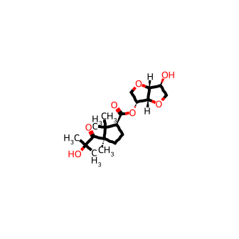 CC(C)(O)C(=O)[C@]1(C)CC[C@H](C(=O)O[C@@H]2CO[C@H]3[C@@H]2OC[C@@H]3O)C1(C)C